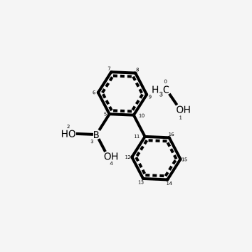 CO.OB(O)c1ccccc1-c1ccccc1